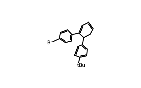 CC(C)(C)c1ccc(C2CC=[C]C=C2c2ccc(Br)cc2)cc1